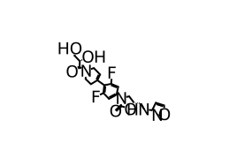 O=C([C@@H](O)CO)N1CC=C(c2c(F)cc(N3C[C@H](CNc4ccon4)OC3=O)cc2F)CC1